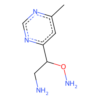 Cc1cc(C(CN)ON)ncn1